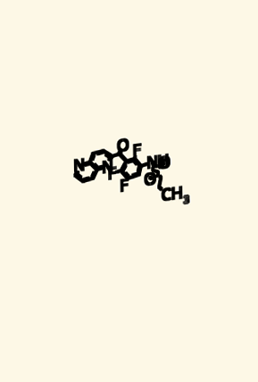 CCCS(=O)(=O)Nc1cc(F)c(F)c(C(=O)c2ccc3ncccc3n2)c1F